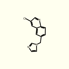 Clc1cnc2ccc(Cn3ccnc3)cc2c1